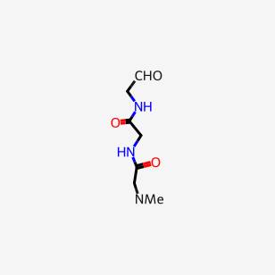 CNCC(=O)NCC(=O)NCC=O